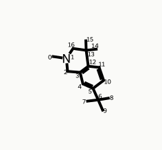 CN1Cc2cc(C(C)(C)C)ccc2C(C)(C)C1